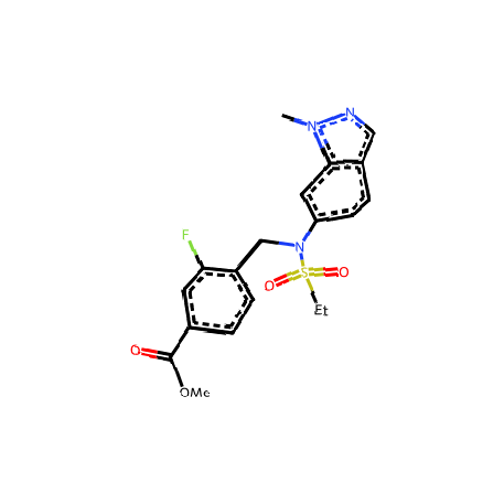 CCS(=O)(=O)N(Cc1ccc(C(=O)OC)cc1F)c1ccc2cnn(C)c2c1